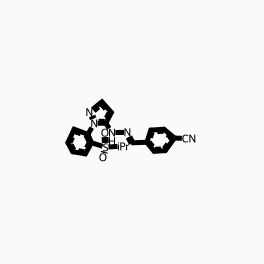 CC(C)S(=O)(=O)c1ccccc1-n1nccc1N/N=C/c1ccc(C#N)cc1